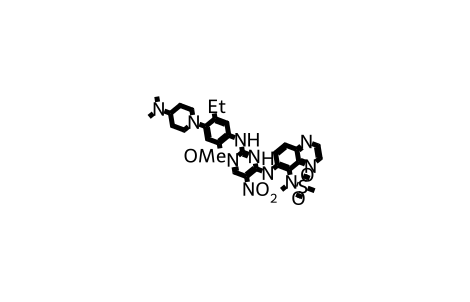 CCc1cc(Nc2ncc([N+](=O)[O-])c(Nc3ccc4nccnc4c3N(C)S(C)(=O)=O)n2)c(OC)cc1N1CCC(N(C)C)CC1